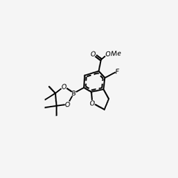 COC(=O)c1cc(B2OC(C)(C)C(C)(C)O2)c2c(c1F)CCO2